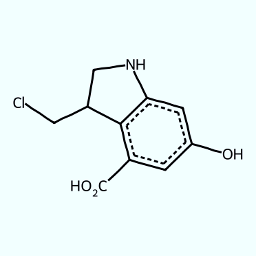 O=C(O)c1cc(O)cc2c1C(CCl)CN2